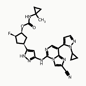 CC1(NC(=O)O[C@H]2C[C@@H](c3cc(Nc4ncc(-c5ccnn5C5CC5)c5nc(C#N)cn45)n[nH]3)C[C@H]2F)CC1